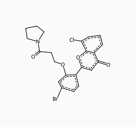 O=C(CCOc1cc(Br)ccc1-c1cc(=O)c2cccc(Cl)c2o1)N1CCCC1